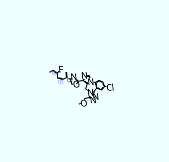 C=C(/C=C\C(F)=C/C)[C@H]1COC(c2ncn3c2Cn2c(COC)nnc2-c2cc(Cl)ccc2-3)=N1